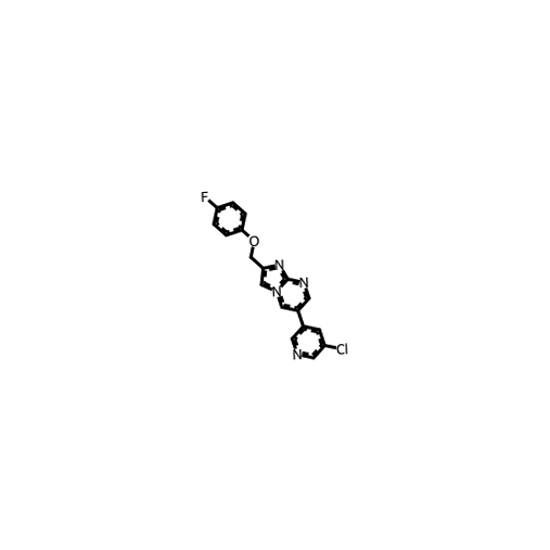 Fc1ccc(OCc2cn3cc(-c4cncc(Cl)c4)cnc3n2)cc1